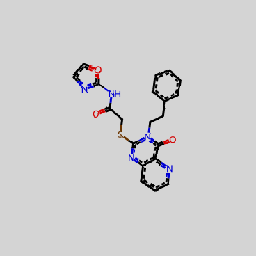 O=C(CSc1nc2cccnc2c(=O)n1CCc1ccccc1)Nc1ncco1